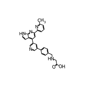 Cc1cccc(-c2cc(-c3cncc(-c4ccc(CNCC(=O)O)cc4)c3)c3cc[nH]c3n2)n1